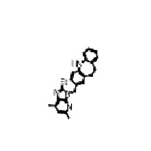 CCc1nc2c(C)cc(C)nc2n1Cc1ccc2c(c1)CCc1ccccc1N2